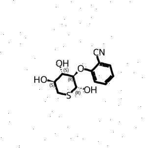 N#Cc1ccccc1O[C@@H]1[C@@H](O)[C@H](O)CS[C@H]1O